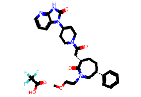 COCCN1C[C@@H](c2ccccc2)CC[C@@H](CC(=O)N2CCC(n3c(=O)[nH]c4ncccc43)CC2)C1=O.O=C(O)C(F)(F)F